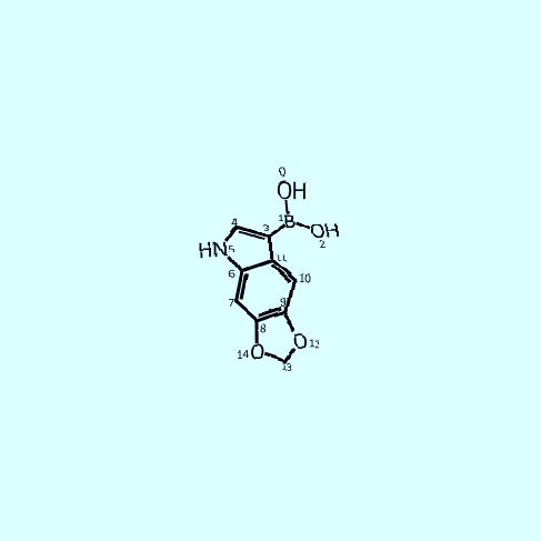 OB(O)c1c[nH]c2cc3c(cc12)OCO3